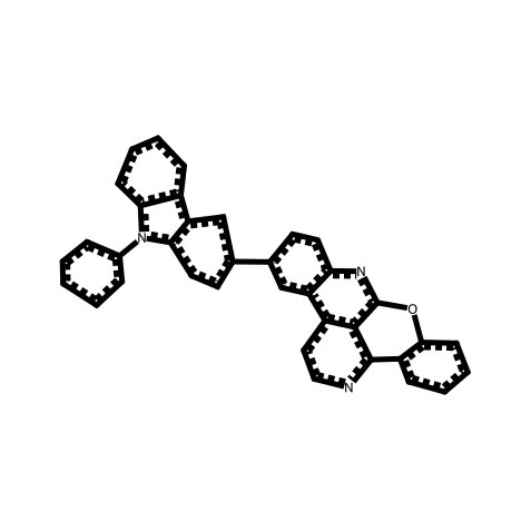 c1ccc(-n2c3ccccc3c3cc(-c4ccc5nc6c7c(nccc7c5c4)-c4ccccc4O6)ccc32)cc1